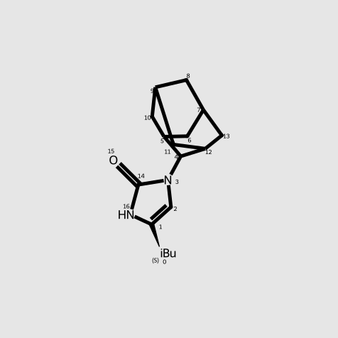 CC[C@H](C)c1cn(C2C3CC4CC(C3)CC2C4)c(=O)[nH]1